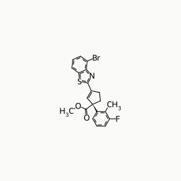 COC(=O)[C@]1(c2cccc(F)c2C)C=C(c2nc3c(Br)cccc3s2)CC1